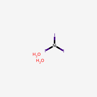 O.O.[I][Ni]([I])[I]